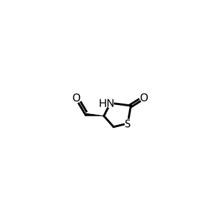 O=C[C@@H]1CSC(=O)N1